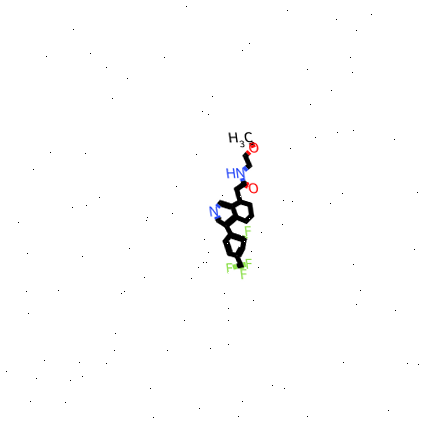 COCCNC(=O)CC1CCCc2c(-c3ccc(C(F)(F)F)cc3F)cncc21